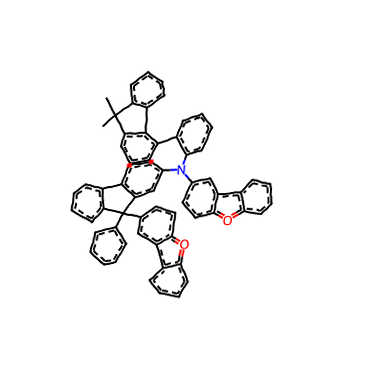 CC1(C)c2ccccc2-c2c(-c3ccccc3N(c3ccc4c(c3)C(c3ccccc3)(c3ccc5oc6ccccc6c5c3)c3ccccc3-4)c3ccc4oc5ccccc5c4c3)cccc21